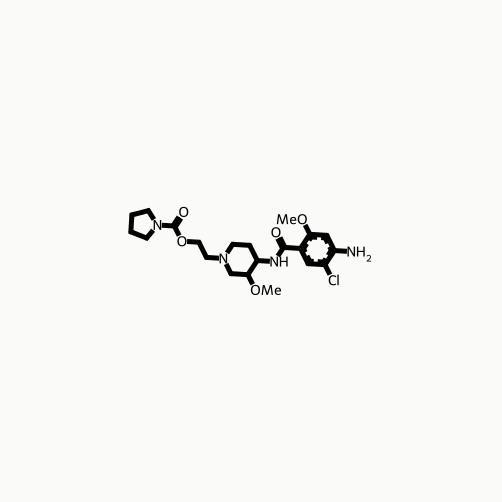 COc1cc(N)c(Cl)cc1C(=O)NC1CCN(CCOC(=O)N2CCCC2)CC1OC